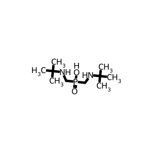 CC(C)(C)NCP(=O)(O)CNC(C)(C)C